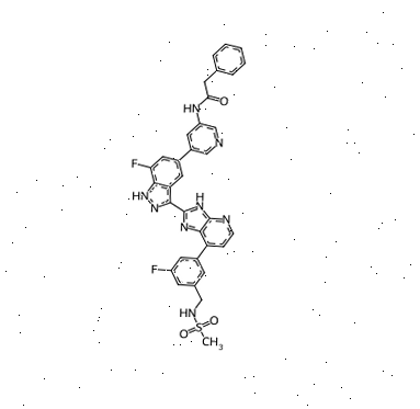 CS(=O)(=O)NCc1cc(F)cc(-c2ccnc3[nH]c(-c4n[nH]c5c(F)cc(-c6cncc(NC(=O)Cc7ccccc7)c6)cc45)nc23)c1